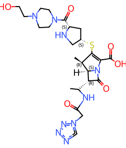 CC(NC(=O)Cn1cnnn1)[C@H]1C(=O)N2C(C(=O)O)=C(S[C@@H]3CN[C@H](C(=O)N4CCN(CCO)CC4)C3)[C@H](C)[C@H]12